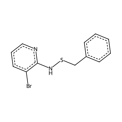 Brc1cccnc1NSCc1ccccc1